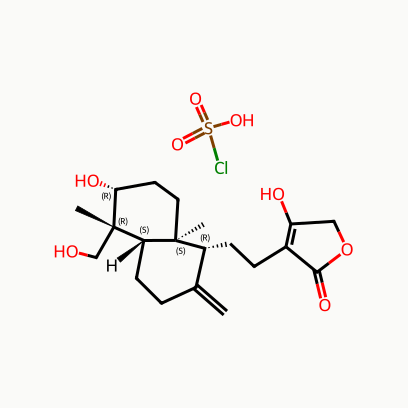 C=C1CC[C@@H]2[C@](C)(CO)[C@H](O)CC[C@@]2(C)[C@@H]1CCC1=C(O)COC1=O.O=S(=O)(O)Cl